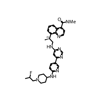 CNC(=O)c1ccnc2c([C@H](C)CNc3cc(-c4ccc(NC5CCN(CC(C)F)CC5)nc4)ncn3)cccc12